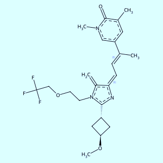 C=c1/c(=C\C=C(/C)c2cc(C)c(=O)n(C)c2)nc([C@H]2C[C@H](OC)C2)n1CCOCC(F)(F)F